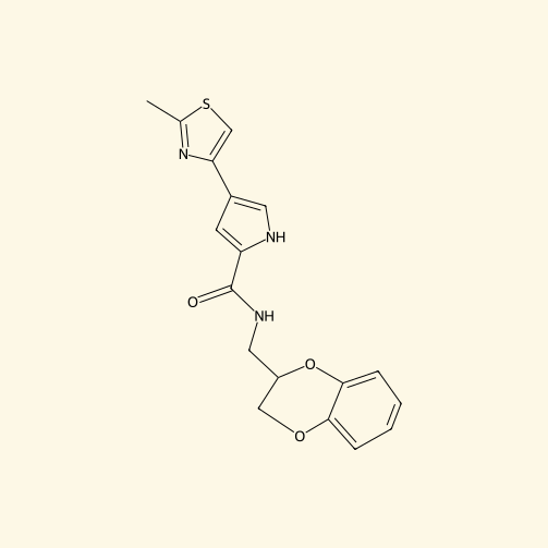 Cc1nc(-c2c[nH]c(C(=O)NCC3COc4ccccc4O3)c2)cs1